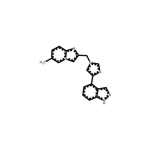 Cc1ccc2nc(Cn3cnc(-c4cccc5[nH]ncc45)c3)cn2c1